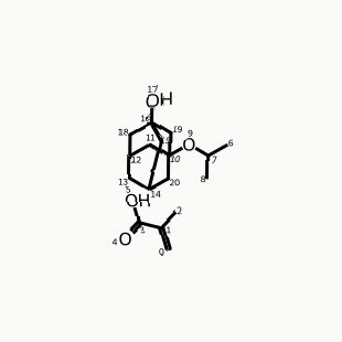 C=C(C)C(=O)O.CC(C)OC12CC3CC(CC(O)(C3)C1)C2